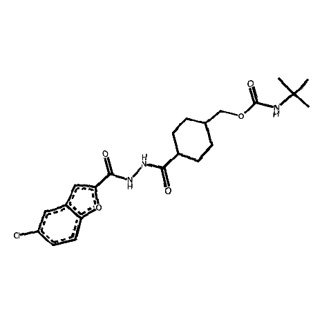 CC(C)(C)NC(=O)OCC1CCC(C(=O)NNC(=O)c2cc3cc(Cl)ccc3o2)CC1